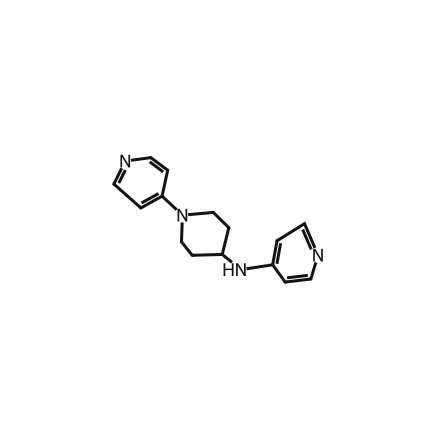 c1cc(NC2CCN(c3ccncc3)CC2)ccn1